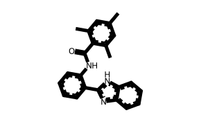 Cc1cc(C)c(C(=O)Nc2ccccc2-c2nc3ccccc3[nH]2)c(C)c1